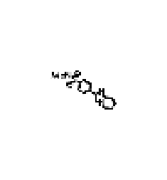 CNS(=O)(=O)c1ccc(-c2cn3ccccc3n2)cc1